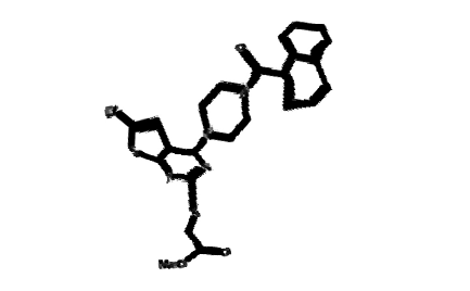 CCc1cc2c(N3CCN(C(=O)c4cccc5ccccc45)CC3)nc(SCC(=O)OC)nc2s1